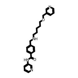 O=C(Nc1cccnc1)c1ccc(CNCCCCCOCc2cccnc2)cc1